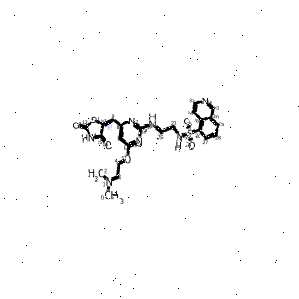 CN(C)CCOc1cc(/C=C2/SC(=O)NC2=O)nc(NCCNS(=O)(=O)c2cccc3cnccc23)n1